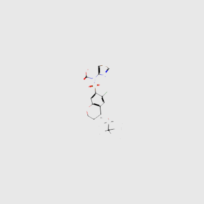 CC(C)(C)[Si](C)(C)O[C@@H]1CCOc2cc(S(=O)(=O)N(C(=O)O)c3cscn3)c(F)cc21